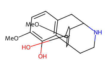 COC1=CC2C3Cc4ccc(OC)c(O)c4C2(CCN3)CC1O